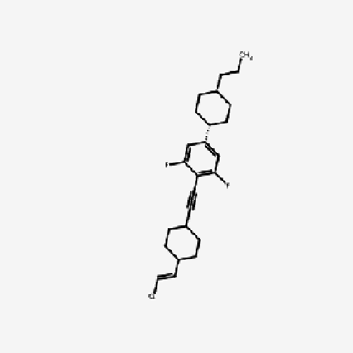 CCC[C@H]1CC[C@H](c2cc(F)c(C#CC3CCC(/C=C/Cl)CC3)c(F)c2)CC1